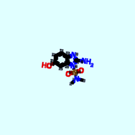 CN(C)S(=O)(=O)n1c(N)nc2ccc(O)cc21